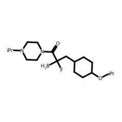 BC(F)(CC1CCC(OC(C)C)CC1)C(=O)N1CCN(C(C)C)CC1